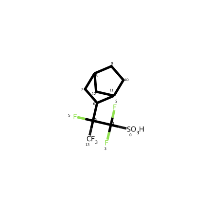 O=S(=O)(O)C(F)(F)C(F)(C1CC2CCC1C2)C(F)(F)F